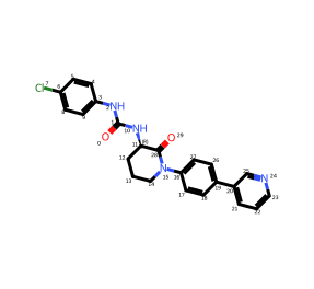 O=C(Nc1ccc(Cl)cc1)N[C@@H]1CCCN(c2ccc(-c3cccnc3)cc2)C1=O